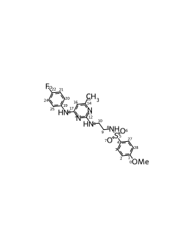 COc1ccc(S(=O)(=O)NCCNc2nc(C)cc(Nc3ccc(F)cc3)n2)cc1